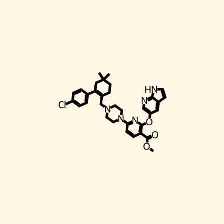 COC(=O)c1ccc(N2CCN(CC3=C(c4ccc(Cl)cc4)CC(C)(C)CC3)CC2)nc1Oc1cnc2[nH]ccc2c1